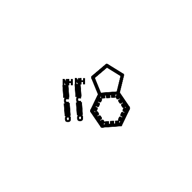 N=C=O.N=C=O.c1ccc2c(c1)CCC2